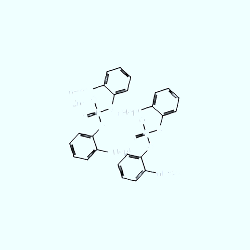 CCCCCCCc1ccccc1OP([O-])(=S)Sc1ccccc1CCCCCCC.CCCCCCCc1ccccc1OP([O-])(=S)Sc1ccccc1CCCCCCC.[Zn+2]